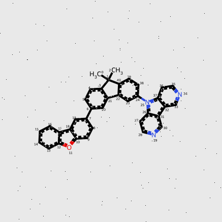 CC1(C)c2ccc(-c3ccc4oc5ccccc5c4c3)cc2-c2cc(-n3c4ccncc4c4cnccc43)ccc21